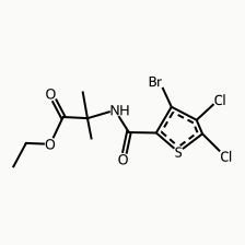 CCOC(=O)C(C)(C)NC(=O)c1sc(Cl)c(Cl)c1Br